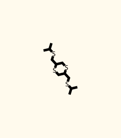 CC(C)SCC1CSC(CSC(C)C)CS1